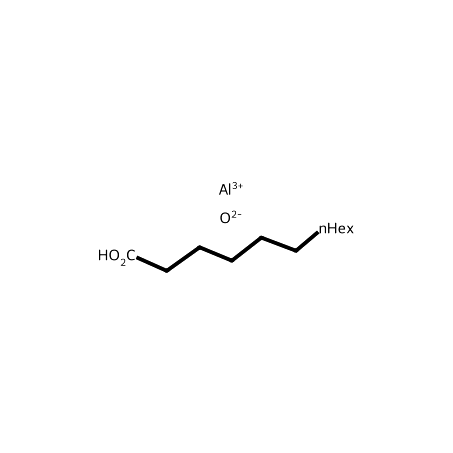 CCCCCCCCCCCC(=O)O.[Al+3].[O-2]